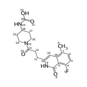 Cc1ccc(F)c2c(=O)[nH]c(CCC(=O)N3CCC(NC(=O)O)CC3)cc12